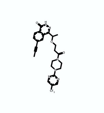 CC#Cc1ccc2c(=O)[nH]nc(C(C)OCCC(=O)N3CCN(c4ncc(C(F)(F)F)cn4)CC3)c2c1